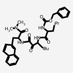 CCC(C)C(NC(=O)C(CC(C)C)NC(=O)OCc1ccccc1)C(=O)C(=O)NC(Cc1ccc2ccccc2c1)C(=O)N(C)C